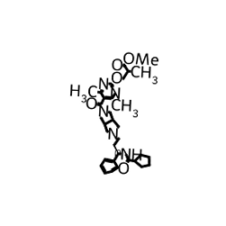 COC(=O)C(C)COc1nc(C)c(C(=O)N2CC3CN(CC[C@@H](NC(=O)C4CCCC4)c4ccccc4)CC3C2)c(C)n1